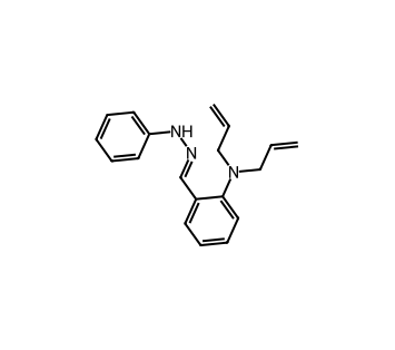 C=CCN(CC=C)c1ccccc1/C=N/Nc1ccccc1